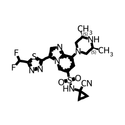 C[C@H]1CN(c2cc(S(=O)(=O)NC3(C#N)CC3)cn3c(-c4nnc(C(F)F)s4)cnc23)C[C@H](C)N1